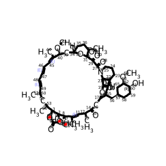 CO[C@H]1[C@H]2OC(=O)O[C@@H]1/C(C)=C/C(C)C(=O)CC1OC(=O)[C@@H]3[C@H](CCCN3C(=O)C(=O)[C@]3(O)O[C@@H](CC[C@H]3C)C[C@H](OC)/C(C)=C/C=C/C=C/[C@@H](C)C[C@H]2C)C1C[C@@H]1CC[C@@H](O)[C@H](OC)C1